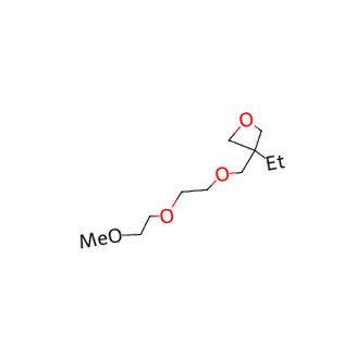 CCC1(COCCOCCOC)COC1